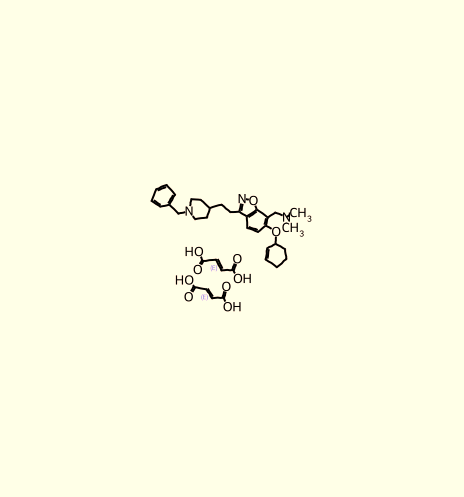 CN(C)Cc1c(OC2C=CCCC2)ccc2c(CCC3CCN(Cc4ccccc4)CC3)noc12.O=C(O)/C=C/C(=O)O.O=C(O)/C=C/C(=O)O